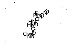 O=C(Nc1ccc(Oc2cc(Cl)ncn2)cc1)Nc1ccc(N2CCC(N3CCCCC3)CC2)c(C(F)(F)F)c1